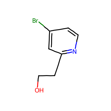 OCCc1cc(Br)ccn1